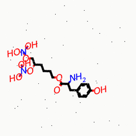 NC(Cc1ccc(O)cc1)C(=O)OCCCCC(CON(O)O)ON(O)O